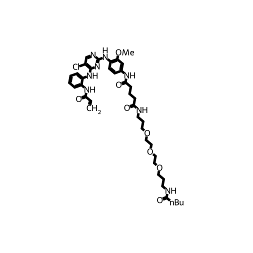 C=CC(=O)Nc1ccccc1Nc1nc(Nc2ccc(NC(=O)CCCC(=O)NCCCOCCOCCOCCCNC(=O)CCCC)cc2OC)ncc1Cl